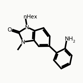 CCCCCCn1c(=O)n(C)c2cc(-c3ccccc3N)ccc21